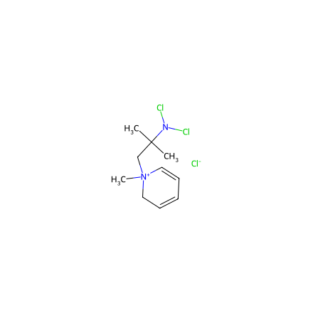 CC(C)(C[N+]1(C)C=CC=CC1)N(Cl)Cl.[Cl-]